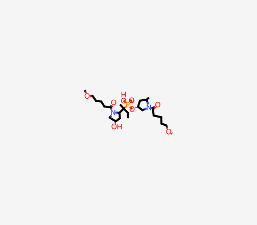 CCC(C)(C1C[C@@H](O)CN1C(=O)CCCCOC)P(=O)(O)O[C@@H]1CC(C)N(C(=O)CCCCOC)C1